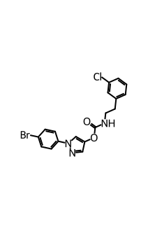 O=C(NCCc1cccc(Cl)c1)Oc1cnn(-c2ccc(Br)cc2)c1